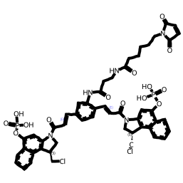 O=C(CCCCCN1C(=O)C=CC1=O)NCCC(=O)Nc1cc(/C=C/C(=O)N2C[C@@H](CCl)c3c2cc(OP(=O)(O)O)c2ccccc32)ccc1/C=C/C(=O)N1C[C@@H](CCl)c2c1cc(OP(=O)(O)O)c1ccccc21